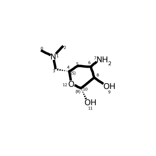 CN(C)C[C@@H]1CC(N)C(O)[C@H](O)O1